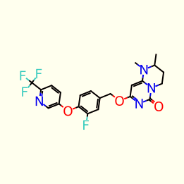 CC1CCn2c(cc(OCc3ccc(Oc4ccc(C(F)(F)F)nc4)c(F)c3)nc2=O)N1C